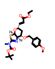 CCOC(=O)/C=C/[C@@H]1C[C@H](OCc2ccc(OC)cc2)[C@H]2N=C(N(C)C(=O)OC(C)(C)C)S[C@H]2O1